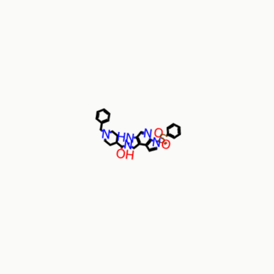 O=S(=O)(c1ccccc1)n1ccc2c3c(cnc21)NN(C(O)C1CCN(Cc2ccccc2)CC1)C3